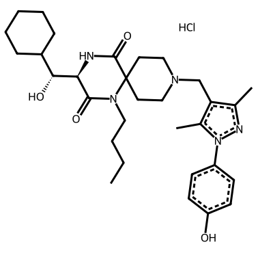 CCCCN1C(=O)[C@@H]([C@H](O)C2CCCCC2)NC(=O)C12CCN(Cc1c(C)nn(-c3ccc(O)cc3)c1C)CC2.Cl